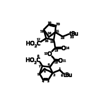 CC(C)(C)CC12C=CC(C1)C(C(=O)O)C2C(=O)OC(=O)C1C(C(=O)O)C2C=CC1(CC(C)(C)C)C2